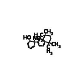 CC1(C)CCC(C)(C)c2cc(C3([N+](=O)[O-])C=CC=CC3O)ccc21